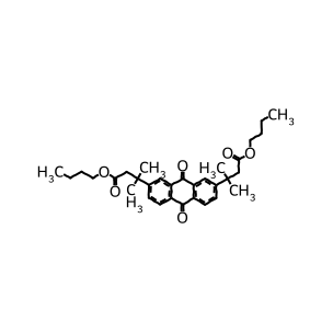 CCCCOC(=O)CC(C)(C)c1ccc2c(c1)C(=O)c1cc(C(C)(C)CC(=O)OCCCC)ccc1C2=O